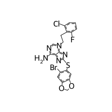 Nc1ncn(CCc2c(F)cccc2Cl)c2nc(Sc3cc4c(cc3Br)OCO4)nc1-2